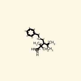 C=C(C)C(COCc1ccccc1)C(C)(C)C1NN1